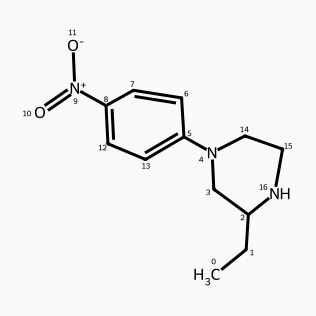 CCC1CN(c2ccc([N+](=O)[O-])cc2)CCN1